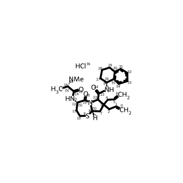 C=CCC1(CC=C)C[C@@H]2SCC[C@H](NC(=O)[C@H](C)NC)C(=O)N2C1C(=O)N[C@@H]1CCCc2ccccc21.Cl